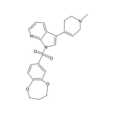 CN1CC=C(c2cn(S(=O)(=O)c3ccc4c(c3)OCCCO4)c3ncccc23)CC1